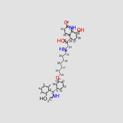 O=C(O)NC(c1ccccc1)c1cccc(OCCCCCCCNC[C@@H](O)c2ccc(O)c3[nH]c(=O)ccc23)c1